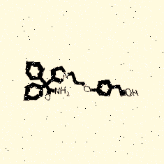 NC(=O)C(c1ccccc1)(c1ccccc1)C1CCN(CCCOc2ccc(CCO)cc2)C1